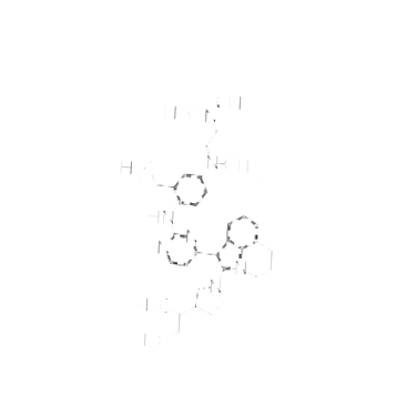 CCc1cc(N(C)CCN(C)C)ccc1Nc1nccc(-c2c(N3CCC(C(C)CC)C3)n3c4c(cccc24)CCC3)n1